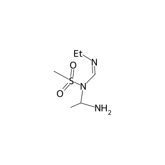 CC/N=C\N(C(C)N)S(C)(=O)=O